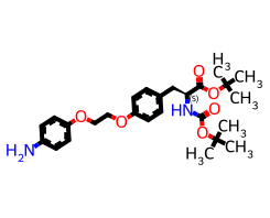 CC(C)(C)OC(=O)N[C@@H](Cc1ccc(OCCOc2ccc(N)cc2)cc1)C(=O)OC(C)(C)C